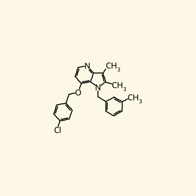 Cc1cccc(Cn2c(C)c(C)c3nccc(OCc4ccc(Cl)cc4)c32)c1